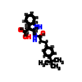 CC(C)(C)c1ccc(CCC(=O)Nc2[nH]c3ccccc3c2C(=O)O)cc1